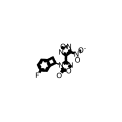 O=c1onc(-c2nonc2[N+](=O)[O-])n1[C@@H]1Cc2ccc(F)cc21